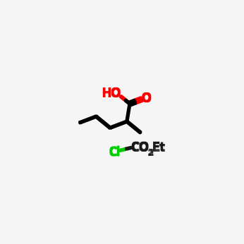 CCCC(C)C(=O)O.CCOC(=O)Cl